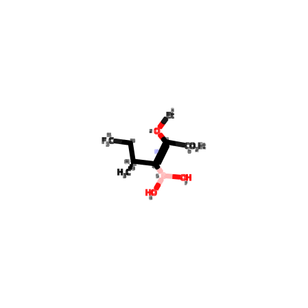 CCOC(=O)/C(OCC)=C(\B(O)O)[C@H](C)CC(F)(F)F